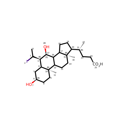 CC(I)[C@@H]1C2C[C@H](O)CC[C@]2(C)C2CC[C@@]3(C)C(CCC3[C@H](C)CCC(=O)O)C2[C@@H]1O